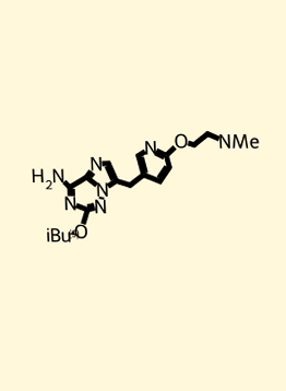 CC[C@H](C)Oc1nc(N)c2ncc(Cc3ccc(OCCNC)nc3)n2n1